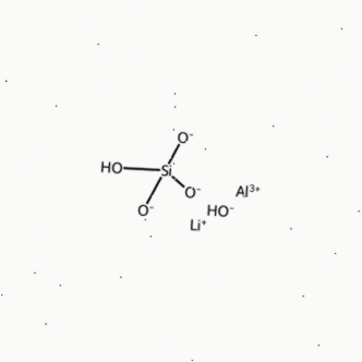 [Al+3].[Li+].[O-][Si]([O-])([O-])O.[OH-]